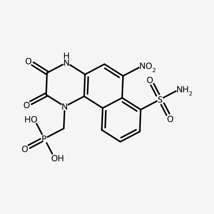 NS(=O)(=O)c1cccc2c1c([N+](=O)[O-])cc1[nH]c(=O)c(=O)n(CP(=O)(O)O)c12